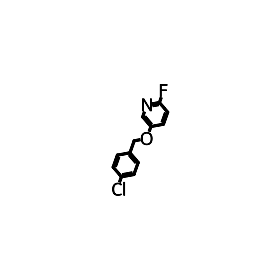 Fc1ccc(OCc2ccc(Cl)cc2)cn1